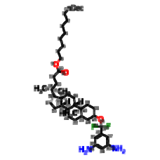 CCCCCCCCCCCCCCCCCCOC(=O)CC[C@@H](C)[C@H]1CC[C@H]2[C@@H]3CCC4CC(OC(F)(F)c5cc(N)cc(N)c5)CC[C@]4(C)[C@H]3CC[C@]12C